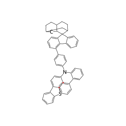 c1ccc(-c2ccccc2N(c2ccc(-c3cccc4c3-c3ccccc3C43C4CCC5CCC(C4)CC53)cc2)c2ccc3c(c2)sc2ccccc23)cc1